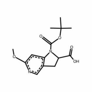 COc1cc2c(cn1)CC(C(=O)O)N2C(=O)OC(C)(C)C